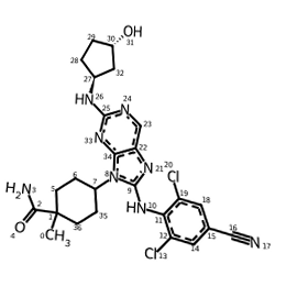 CC1(C(N)=O)CCC(n2c(Nc3c(Cl)cc(C#N)cc3Cl)nc3cnc(N[C@H]4CC[C@H](O)C4)nc32)CC1